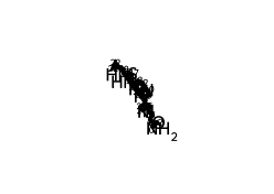 NC(=O)CCn1cc(-c2cnc3ccc(NC(=S)NCC4CC4)nc3n2)cn1